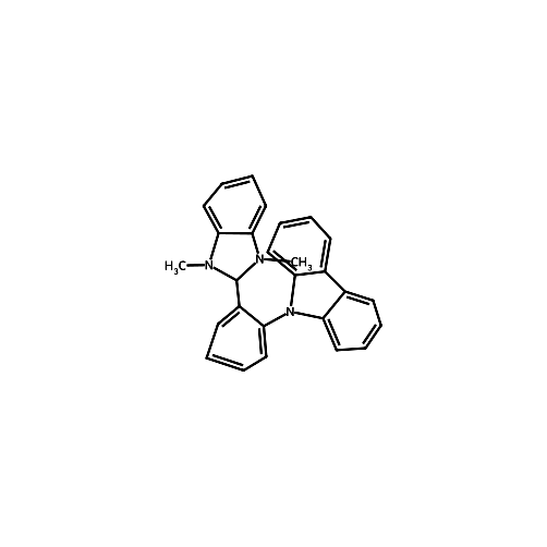 CN1c2ccccc2N(C)C1c1ccccc1-n1c2ccccc2c2ccccc21